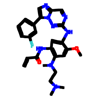 C=CC(=O)Nc1cc(Nc2ncc3ncc(-c4cccc(F)c4)n3n2)c(OC)cc1N(C)CCN(C)C